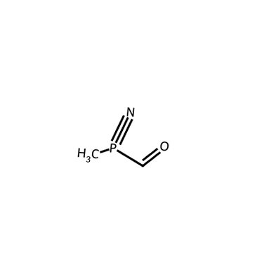 CP(#N)C=O